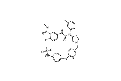 CNC(=O)c1cc(NC(=O)N(c2cccc(F)c2)[C@H]2CCN(Cc3ccc(Oc4ccc(NS(C)(=O)=O)cc4)nc3)C2)ccc1F